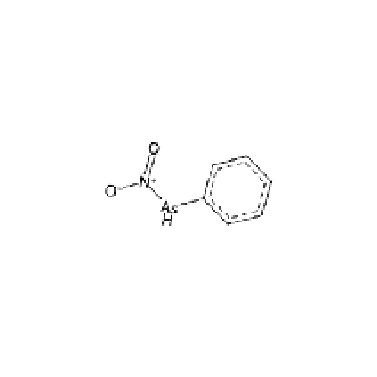 O=[N+]([O-])[AsH]c1ccccc1